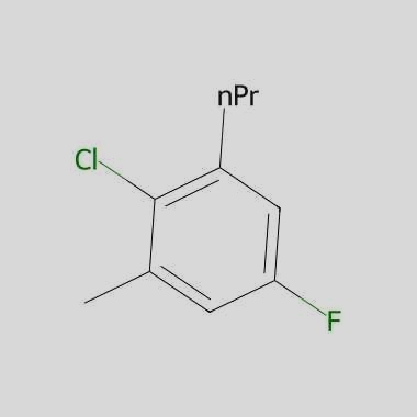 CCCc1cc(F)cc(C)c1Cl